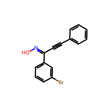 O/N=C(/C#Cc1ccccc1)c1cccc(Br)c1